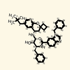 CC(C)(C)Cc1cnc2c(c1)[C@@H](NC[C@H](O)[C@H](Cc1ccccc1)NC(=O)c1ccc3ncn(Cc4ccccc4)c3c1)CC1(CCC1)O2